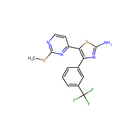 CSc1nccc(-c2sc(N)nc2-c2cccc(C(F)(F)F)c2)n1